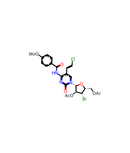 COc1ccc(C(=O)Nc2nc(=O)n([C@@H]3O[C@H](COC(C)=O)[C@H](Br)[C@H]3OC(C)=O)cc2C=CCl)cc1